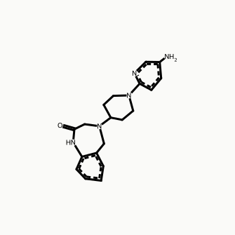 Nc1ccc(N2CCC(N3CC(=O)Nc4ccccc4C3)CC2)nc1